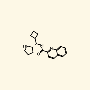 O=C(NC(C1CCC1)[C@@H]1CCCN1)c1ccc2ccccc2n1